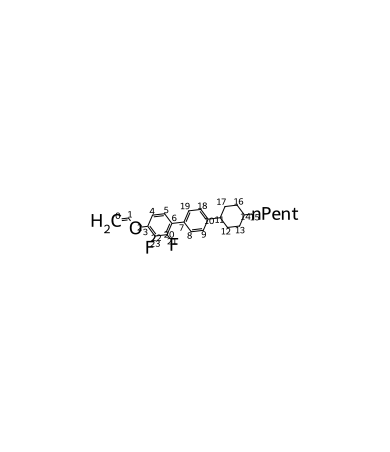 C=COc1ccc(-c2ccc(C3CCC(CCCCC)CC3)cc2)c(F)c1F